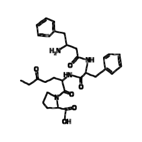 CCC(=O)CCC(NC(=O)C(Cc1ccccc1)NC(=O)CC(N)Cc1ccccc1)C(=O)N1CCCC1C(=O)O